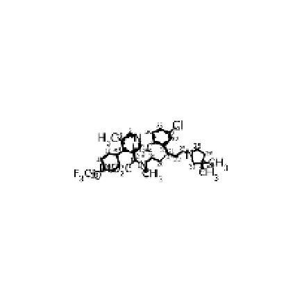 CCOC(=O)C(c1cncc(C)c1C1CCC(OC(F)(F)F)CC1)N(C)CC[C@H](CCN1CCC(C)(C)C1)c1cc(Cl)ccc1C